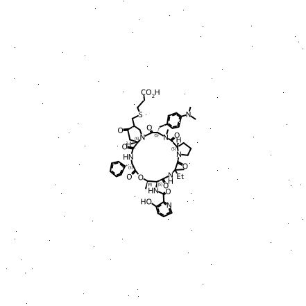 CCC1(C)NC(=O)[C@@H](NC(=O)c2ncccc2O)[C@@H](C)OC(=O)[C@H](c2ccccc2)NC(=O)[C@@H]2CC(=O)C(CSCCC(=O)O)CN2C(=O)[C@H](Cc2ccc(N(C)C)cc2)N(C)C(=O)[C@@H]2CCCN2C1=O